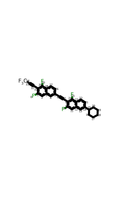 Fc1cc2cc(C#Cc3c(F)cc4cc(C5CCCCC5)ccc4c3F)ccc2c(F)c1C#CC(F)(F)F